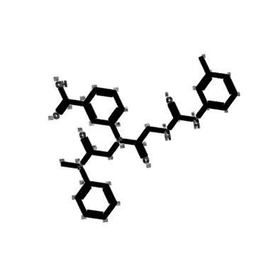 Cc1cccc(NC(=O)NCC(=O)N(CC(=O)N(C)c2ccccc2)c2cccc(C(=O)O)c2)c1